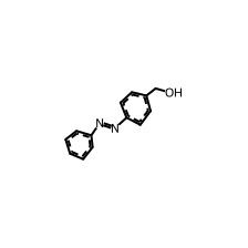 OCc1ccc(N=Nc2ccccc2)cc1